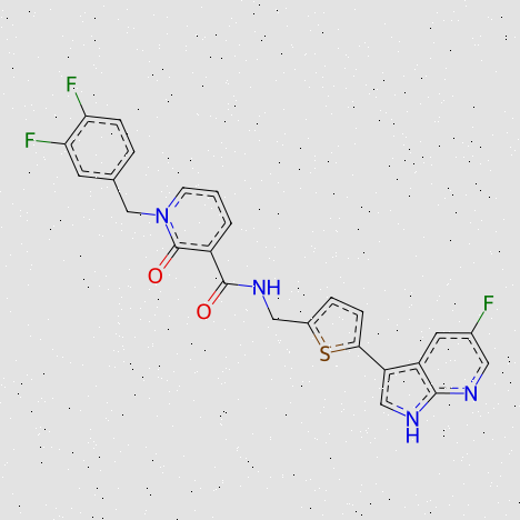 O=C(NCc1ccc(-c2c[nH]c3ncc(F)cc23)s1)c1cccn(Cc2ccc(F)c(F)c2)c1=O